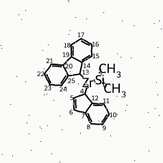 C[Si](C)=[Zr]([CH]1C=Cc2ccccc21)[CH]1c2ccccc2-c2ccccc21